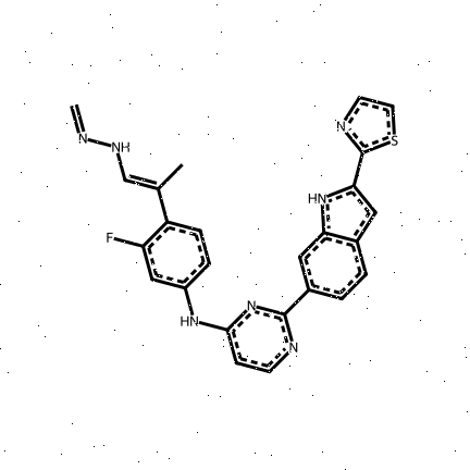 C=NN/C=C(\C)c1ccc(Nc2ccnc(-c3ccc4cc(-c5nccs5)[nH]c4c3)n2)cc1F